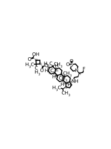 CC(C)[C@@H]1CC[C@]2(NCC[C@H](CF)N3CCS(=O)(=O)CC3)CC[C@]3(C)[C@H](CC[C@@H]4[C@@]5(C)CC[C@H](OC(=O)[C@H]6C[C@@H](C(=O)O)C6(C)C)C(C)(C)[C@@H]5CC[C@]43C)[C@@H]12